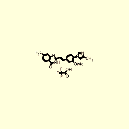 COc1cc(C=Cc2nc3cc(C(F)(F)F)ccc3c(=O)[nH]2)ccc1-n1cnc(C)c1.O=C(O)C(F)(F)F